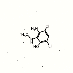 CNc1c(N)c(Cl)cc(Cl)c1O